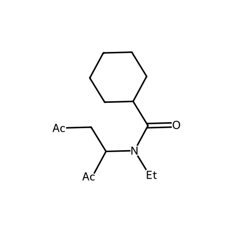 CCN(C(=O)C1CCCCC1)C(CC(C)=O)C(C)=O